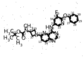 CN(C(=O)OC(C)(C)C)C1CN(c2ccc3ncnc(Nc4cnc(Oc5ccccc5)c(F)c4)c3n2)C1